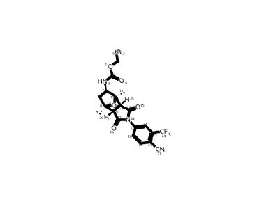 CC(C)(C)COC(=O)N[C@@H]1C[C@@]2(C)O[C@]1(C)[C@@H]1C(=O)N(c3ccc(C#N)c(C(F)(F)F)c3)C(=O)[C@@H]12